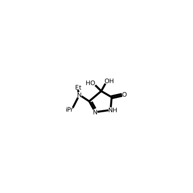 CCN(C1=NNC(=O)C1(O)O)C(C)C